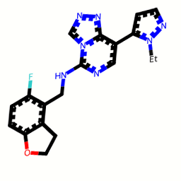 CCn1nccc1-c1cnc(NCc2c(F)ccc3c2CCO3)n2cnnc12